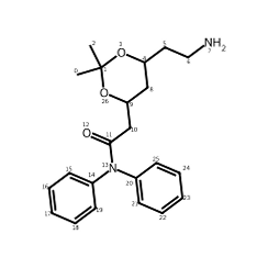 CC1(C)OC(CCN)CC(CC(=O)N(c2ccccc2)c2ccccc2)O1